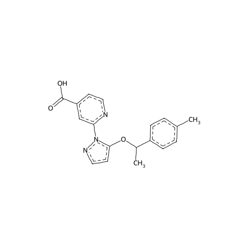 Cc1ccc(C(C)Oc2ccnn2-c2cc(C(=O)O)ccn2)cc1